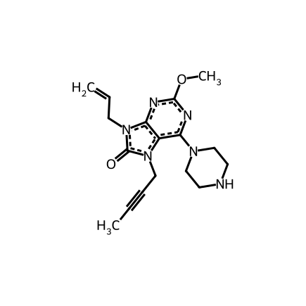 C=CCn1c(=O)n(CC#CC)c2c(N3CCNCC3)nc(OC)nc21